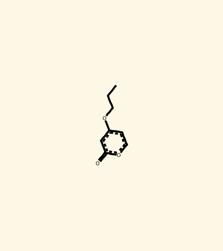 CCCOc1ccoc(=O)c1